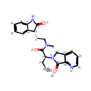 CN(CC[C@H]1C(=O)Nc2ccccc21)C(=O)[C@H](CC(C)(C)C)N1Cc2cccnc2C1=O